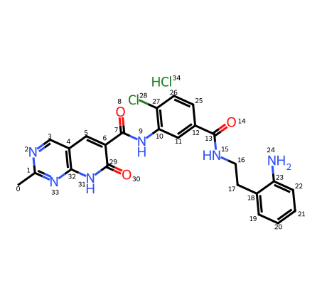 Cc1ncc2cc(C(=O)Nc3cc(C(=O)NCCc4ccccc4N)ccc3Cl)c(=O)[nH]c2n1.Cl